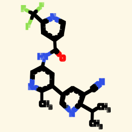 Cc1ncc(NC(=O)c2ccnc(C(F)(F)F)c2)cc1-c1cnc(C(C)C)c(C#N)c1